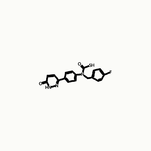 O=C(S)N(Cc1ccc(F)cc1)c1ccc(-c2ccc(=O)[nH]n2)cc1